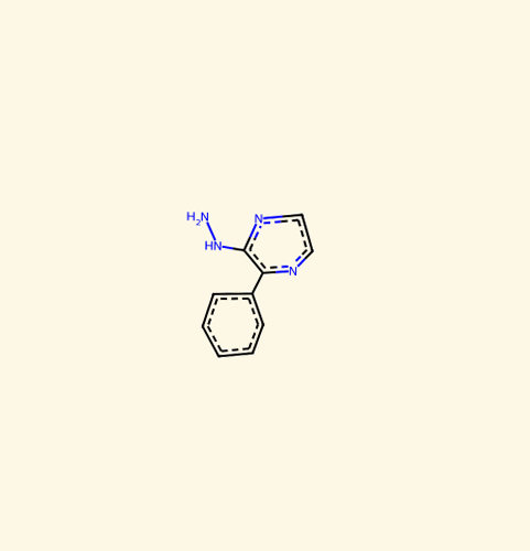 NNc1nccnc1-c1ccccc1